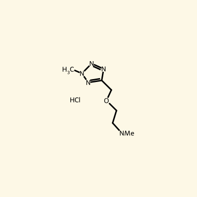 CNCCOCc1nnn(C)n1.Cl